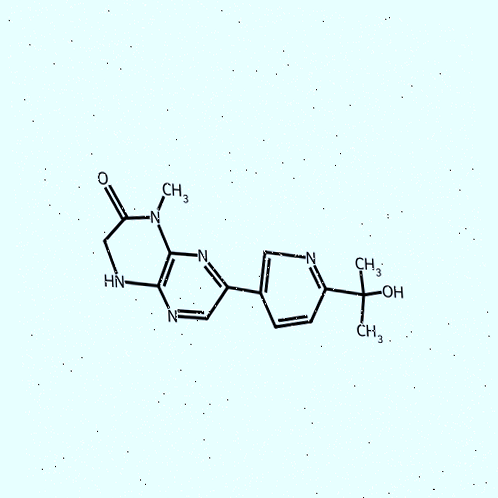 CN1C(=O)CNc2ncc(-c3ccc(C(C)(C)O)nc3)nc21